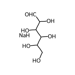 O=CC(O)C(O)C(O)C(O)CO.[NaH]